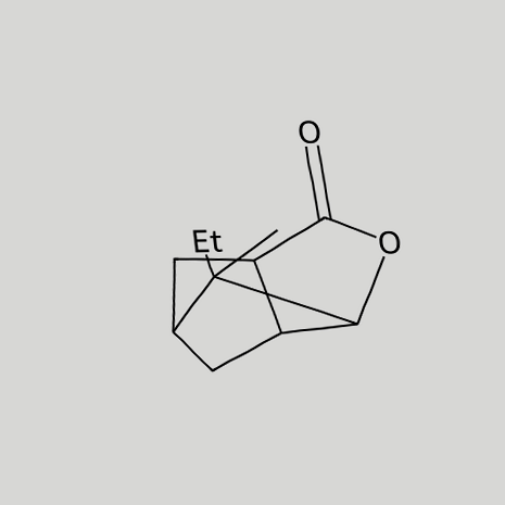 CCC1(C)C2CC3C(=O)OC1C3C2